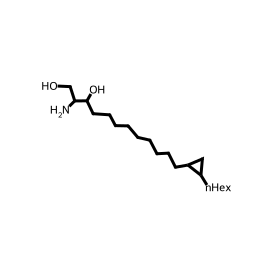 CCCCCCC1CC1CCCCCCCCCC(O)C(N)CO